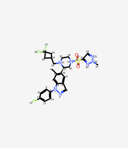 Cc1cc2c(cnn2-c2ccc(F)cc2)cc1[C@@H]1CN(S(=O)(=O)c2cnn(C)n2)CCN1CC1CC(F)(F)C1